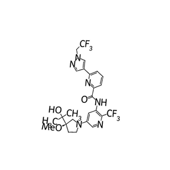 CO[C@]1(C(C)(C)O)CCN(c2cnc(C(F)(F)F)c(NC(=O)c3cccc(-c4cnn(CC(F)(F)F)c4)n3)c2)C1